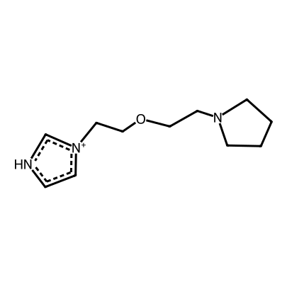 c1c[n+](CCOCCN2CCCC2)c[nH]1